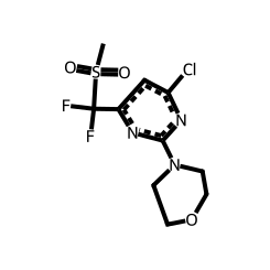 CS(=O)(=O)C(F)(F)c1cc(Cl)nc(N2CCOCC2)n1